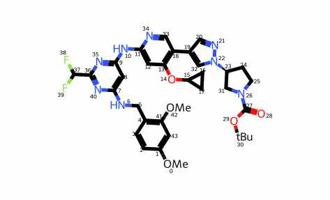 COc1ccc(CNc2cc(Nc3cc(OC4CC4)c(-c4cnn([C@H]5CCN(C(=O)OC(C)(C)C)C5)c4)cn3)nc(C(F)F)n2)c(OC)c1